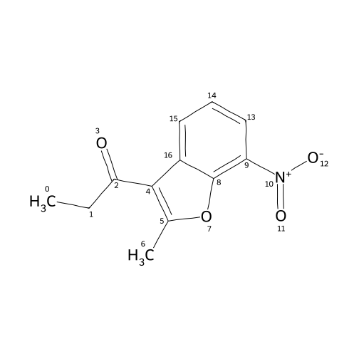 CCC(=O)c1c(C)oc2c([N+](=O)[O-])cccc12